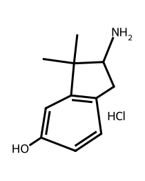 CC1(C)c2cc(O)ccc2CC1N.Cl